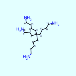 NCCCCCC(CCCN)(CCCCN)CCCCN